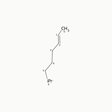 CC=CCCC[C](C)C